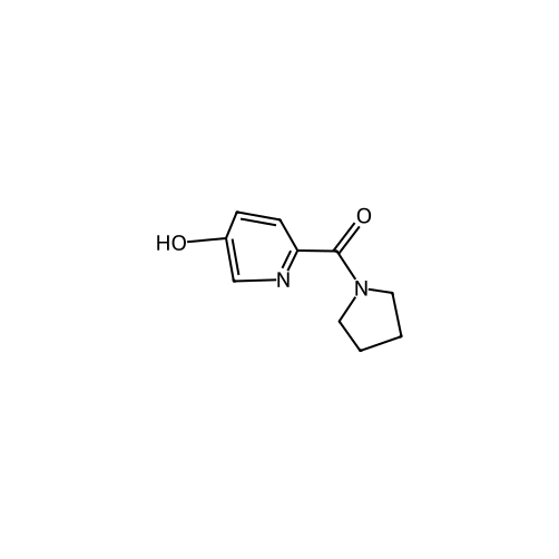 O=C(c1ccc(O)cn1)N1CCCC1